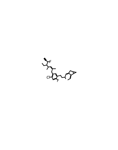 C#CC(F)C(CC)C(C)/C=C(/C)Cc1cc(CCC(C)/C=C2/CC3CC3/C2=C/C)c(F)cc1Cl